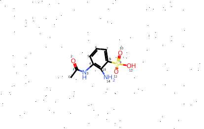 CC(=O)Nc1cccc(S(=O)(=O)O)c1N